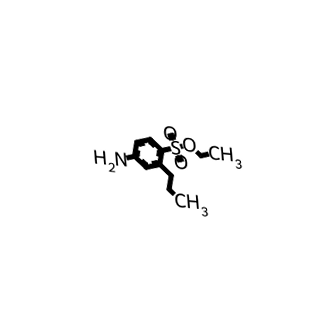 CCCc1cc(N)ccc1S(=O)(=O)OCC